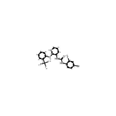 O=C(Nc1ccc(Br)cc1F)Nc1cccnc1Oc1ccccc1C(F)(F)F